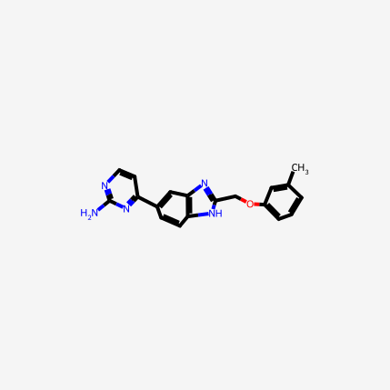 Cc1cccc(OCc2nc3cc(-c4ccnc(N)n4)ccc3[nH]2)c1